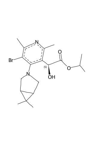 Cc1nc(C)c([C@H](O)C(=O)OC(C)C)c(N2CC3C(C2)C3(C)C)c1Br